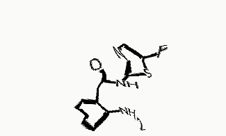 Nc1ccccc1C(=O)Nc1ncc(F)s1